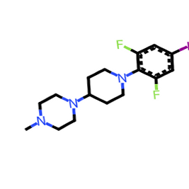 CN1CCN(C2CCN(c3c(F)cc(I)cc3F)CC2)CC1